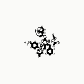 CC(C)CN(CC(O)C(Cc1ccccc1)NC(=O)O[C@H]1CO[C@H]2OCC[C@H]21)S(=O)(=O)c1ccc(N)cc1.CCOC(C)=O